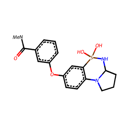 CNC(=O)c1cccc(Oc2ccc3c(c2)S(O)(O)NC2CCCN32)c1